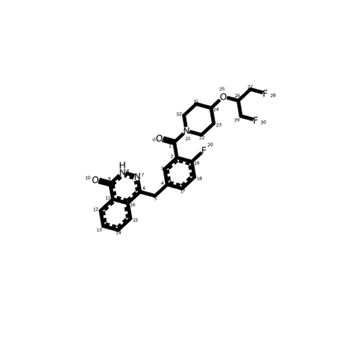 O=C(c1cc(Cc2n[nH]c(=O)c3ccccc23)ccc1F)N1CCC(OC(CF)CF)CC1